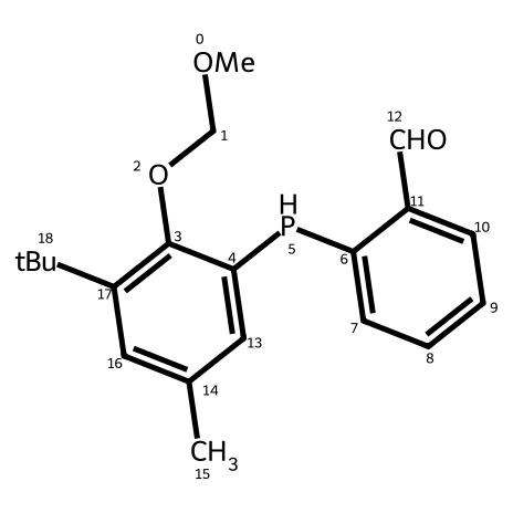 COCOc1c(Pc2ccccc2C=O)cc(C)cc1C(C)(C)C